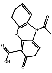 CC(=O)N1C2=CCC(=O)C(C(=O)O)=C2OC2=C1C=CCC2